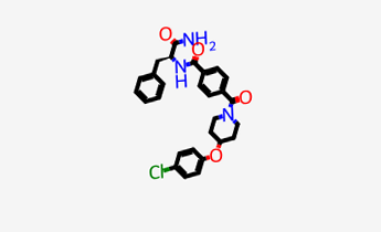 NC(=O)[C@H](Cc1ccccc1)NC(=O)c1ccc(C(=O)N2CCC(Oc3ccc(Cl)cc3)CC2)cc1